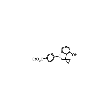 CCOC(=O)c1ccc(OCC2(c3ccccc3O)CC2)cc1